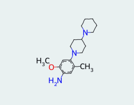 COc1cc(N2CCC(N3CCCCC3)CC2)c(C)cc1N